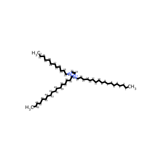 CCCCCCCCCCCCCCCCCC[n+]1ccn(CCCCCCCCCCCC)c1CCCCCCCCCCCCCCCC